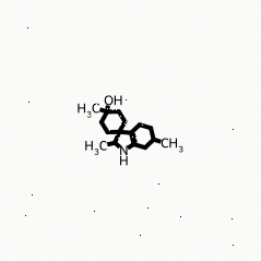 CC1CCC2=C(C1)NC(C)C21CCC(C)(O)CC1